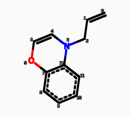 C=CCN1C=COc2ccccc21